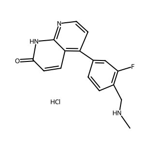 CNCc1ccc(-c2ccnc3[nH]c(=O)ccc23)cc1F.Cl